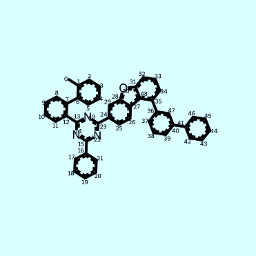 Cc1ccccc1-c1ccccc1-c1nc(-c2ccccc2)nc(-c2ccc3c(c2)oc2cccc(-c4cccc(-c5ccccc5)c4)c23)n1